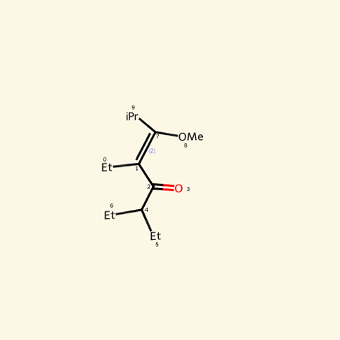 CC/C(C(=O)C(CC)CC)=C(/OC)C(C)C